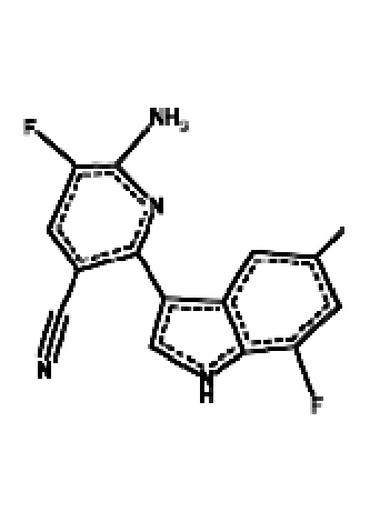 Cc1cc(F)c2[nH]cc(-c3nc(N)c(F)cc3C#N)c2c1